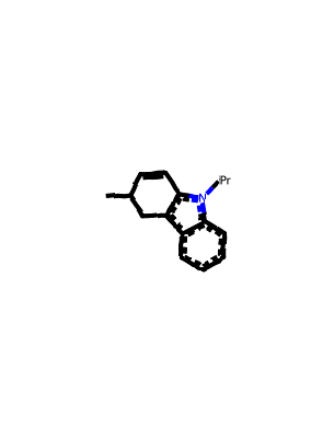 CC1C=Cc2c(c3ccccc3n2C(C)C)C1